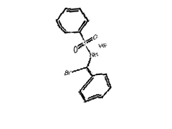 F.O=S(=O)(NC(Br)c1ccccc1)c1ccccc1